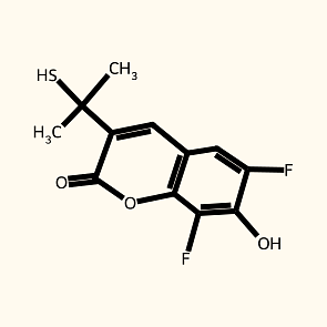 CC(C)(S)c1cc2cc(F)c(O)c(F)c2oc1=O